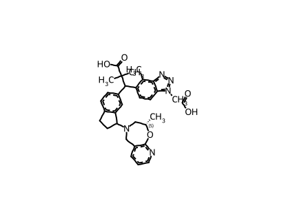 Cc1c(C(c2ccc3c(c2)C(N2Cc4cccnc4O[C@@H](C)C2)CC3)C(C)(C)C(=O)O)ccc2c1nnn2C.O=CO